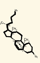 CC(C)CCC[C@@H](C)C1CCC2[C@]1(C)CCC1[C@]23C=C[C@]2(CC(O)CC[C@]12C)OO3